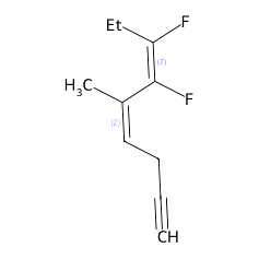 C#CC/C=C(C)\C(F)=C(\F)CC